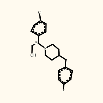 OC[C@H](c1ccc(Cl)cc1)N1CCC(Cc2ccc(F)cc2)CC1